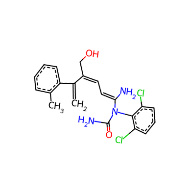 C=C(/C(=C\C=C(/N)N(C(N)=O)c1c(Cl)cccc1Cl)CO)c1ccccc1C